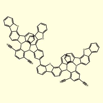 N#Cc1cc(C#N)c(-n2c3ccccc3c3c4oc5c(-c6ccc7c8c9oc%10ccccc%10c9ccc8n(-c8c(C#N)ccc(C#N)c8-n8c9ccccc9c9c%10oc%11ccccc%11c%10ccc98)c7c6)cccc5c4ccc32)c(-n2c3ccccc3c3c4oc5ccccc5c4ccc32)c1